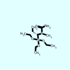 CCO[Si](OCC)(OCC)[C@H](CC)N(C)C(N)=O